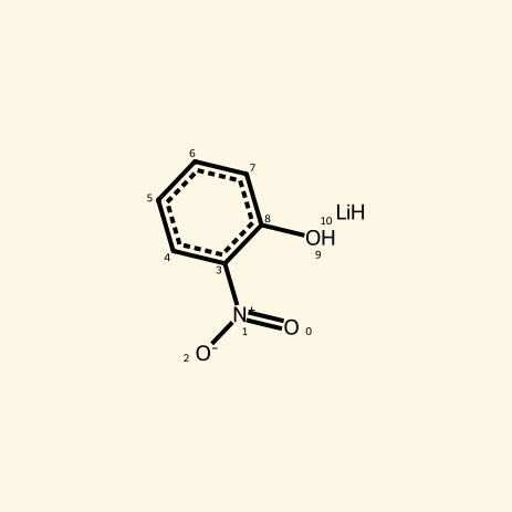 O=[N+]([O-])c1ccccc1O.[LiH]